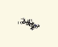 C=C1C(c2ccn(/C(=N/C(=O)OC(C)(C)C)NC(=O)OC(C)(C)C)n2)C[C@H]2[C@H](CN)[C@@H]([C@@]3(C)CC[C@H](O)C[C@@H]3CO)CC[C@]12C